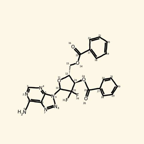 Nc1ncnc2c1nnn2C1O[C@H](COC(=O)c2ccccc2)[C@@H](OC(=O)c2ccccc2)C1(F)F